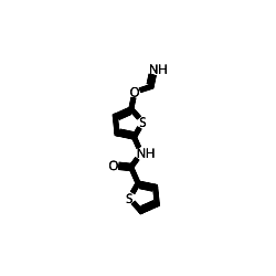 N=COc1ccc(NC(=O)c2cccs2)s1